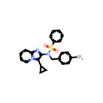 O=S(=O)(c1ccccc1)N(Cc1ccc(C(F)(F)F)cc1)c1nc2ccccn2c1C1CC1